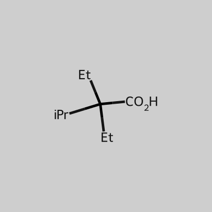 CCC(CC)(C(=O)O)C(C)C